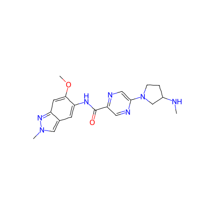 CNC1CCN(c2cnc(C(=O)Nc3cc4cn(C)nc4cc3OC)cn2)C1